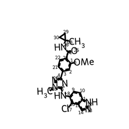 COc1cc(-c2nc(Nc3ccc4[nH]ncc4c3Cl)n(C)n2)ccc1C(=O)NC1(C)CC1